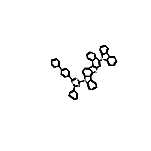 c1ccc(-c2ccc(-c3nc(-c4ccccc4)nc(-n4c5ccccc5c5c6oc7cc(-n8c9ccccc9c9ccccc98)c8ccccc8c7c6ccc54)n3)cc2)cc1